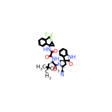 CC(C)(C)C[C@H](NC(=O)C(=O)NC1(c2ccccc2C(F)(F)F)CC1)C(=O)N1C[C@]2(C[C@H]1C#N)C(=O)Nc1ccccc12